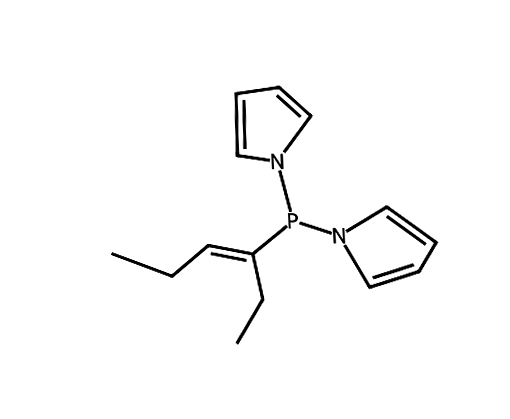 CCC=C(CC)P(n1cccc1)n1cccc1